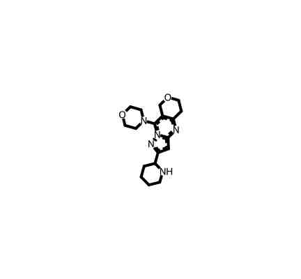 c1c(C2CCCCN2)nn2c(N3CCOCC3)c3c(nc12)CCOC3